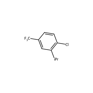 CC(C)c1cc(C(F)(F)F)ccc1Cl